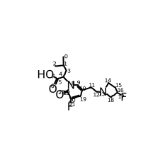 CC(C)CC(C(=O)O)n1cc(CCN2CCC(F)C2)cc(F)c1=O